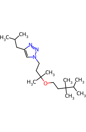 CC(C)Cc1cn(CCC(C)(C)OCCC(C)(C)C(C)C)nn1